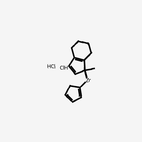 C[C]1([Zr][C]2=CC=CC2)C=CC2=C1CCCC2.Cl.Cl